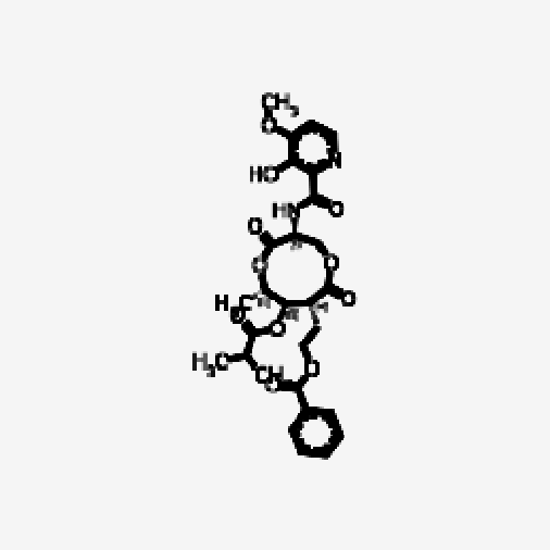 COc1ccnc(C(=O)N[C@H]2COC(=O)[C@H](CCOC(=O)c3ccccc3)[C@@H](OC(=O)C(C)C)[C@H](C)OC2=O)c1O